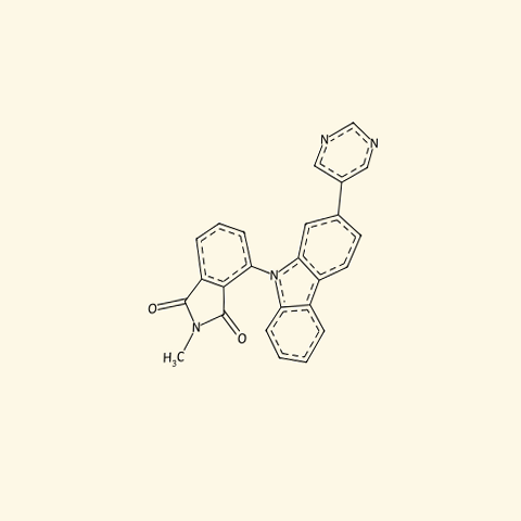 CN1C(=O)c2cccc(-n3c4ccccc4c4ccc(-c5cncnc5)cc43)c2C1=O